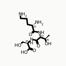 C[C@@H](O)[C@H](NC(=O)[C@@H](N)CCCN)C(=O)N[C@H](CO)C(=O)O